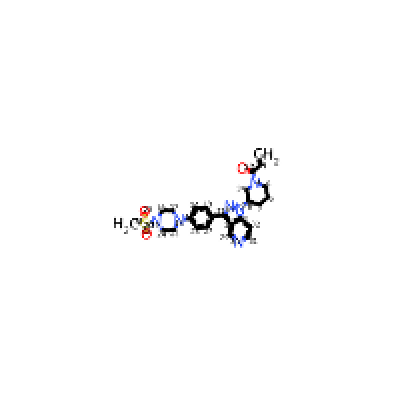 C=CC(=O)N1CCCC(n2nc(-c3ccc(N4CCN(S(C)(=O)=O)CC4)cc3)c3cnccc32)C1